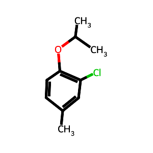 Cc1ccc(OC(C)C)c(Cl)c1